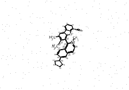 Cc1cc2c(oc3c(C#N)cccc32)c(-c2c3ccc(C4CCCC4)cc3cc[n+]2C)c1C